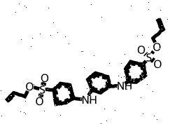 C=CCOS(=O)(=O)c1ccc(Nc2cccc(Nc3ccc(S(=O)(=O)OCC=C)cc3)c2)cc1